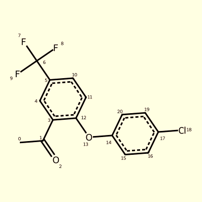 CC(=O)c1cc(C(F)(F)F)ccc1Oc1ccc(Cl)cc1